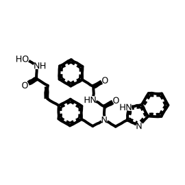 O=C(C=Cc1ccc(CN(Cc2nc3ccccc3[nH]2)C(=O)NC(=O)c2ccccc2)cc1)NO